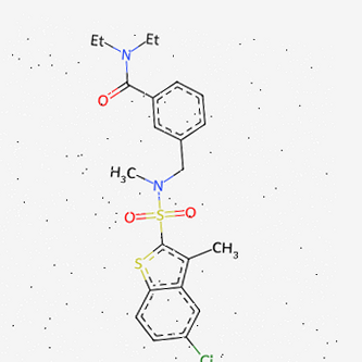 CCN(CC)C(=O)c1cccc(CN(C)S(=O)(=O)c2sc3ccc(Cl)cc3c2C)c1